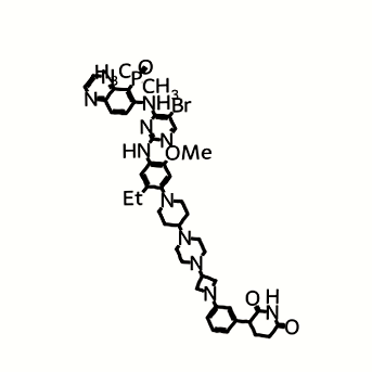 CCc1cc(Nc2ncc(Br)c(Nc3ccc4nccnc4c3P(C)(C)=O)n2)c(OC)cc1N1CCC(N2CCN(C3CN(c4cccc(C5CCC(=O)NC5=O)c4)C3)CC2)CC1